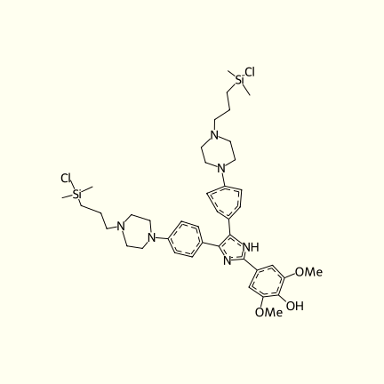 COc1cc(-c2nc(-c3ccc(N4CCN(CCC[Si](C)(C)Cl)CC4)cc3)c(-c3ccc(N4CCN(CCC[Si](C)(C)Cl)CC4)cc3)[nH]2)cc(OC)c1O